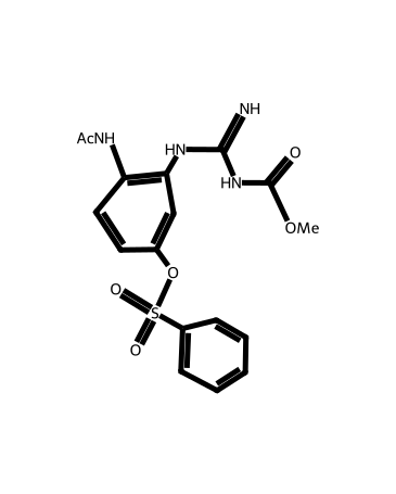 COC(=O)NC(=N)Nc1cc(OS(=O)(=O)c2ccccc2)ccc1NC(C)=O